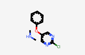 CNC.Clc1ncc(Oc2ccccc2)cn1